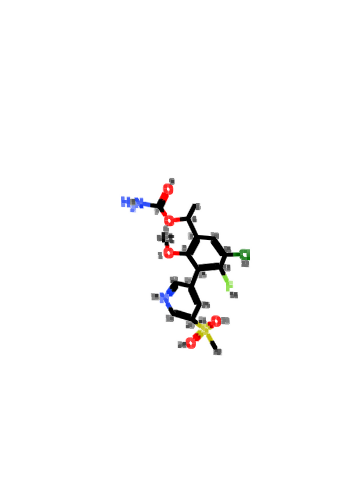 CCOc1c(C(C)OC(N)=O)cc(Cl)c(F)c1-c1cncc(S(C)(=O)=O)c1